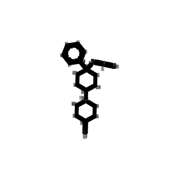 O=C=NC1(c2ccccc2)CCC(N2CCC(=O)CC2)CC1